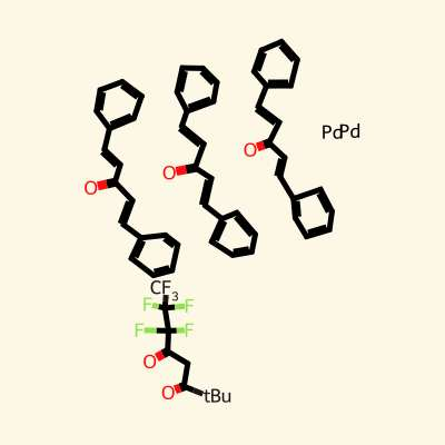 CC(C)(C)C(=O)CC(=O)C(F)(F)C(F)(F)C(F)(F)F.O=C(C=Cc1ccccc1)C=Cc1ccccc1.O=C(C=Cc1ccccc1)C=Cc1ccccc1.O=C(C=Cc1ccccc1)C=Cc1ccccc1.[Pd].[Pd]